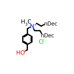 CCCCCCCCCCCC[N+](C)(CCCCCCCCCCCC)Cc1ccc(CO)cc1.[Cl-]